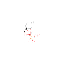 O=C(O)C12COC(P(=O)(O)O)(OC1)OC2